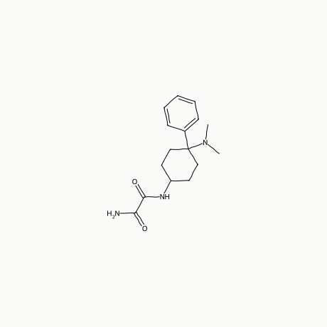 CN(C)C1(c2ccccc2)CCC(NC(=O)C(N)=O)CC1